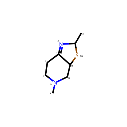 CC1N=C2CCN(C)CC2S1